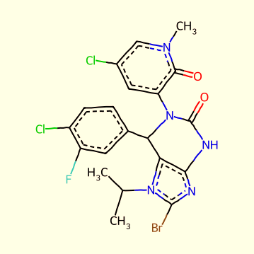 CC(C)n1c(Br)nc2c1C(c1ccc(Cl)c(F)c1)N(c1cc(Cl)cn(C)c1=O)C(=O)N2